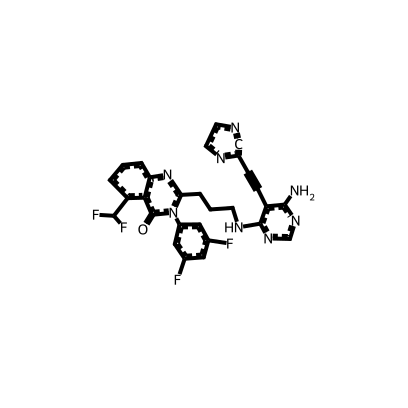 Nc1ncnc(NCCCc2nc3cccc(C(F)F)c3c(=O)n2-c2cc(F)cc(F)c2)c1C#Cc1cnccn1